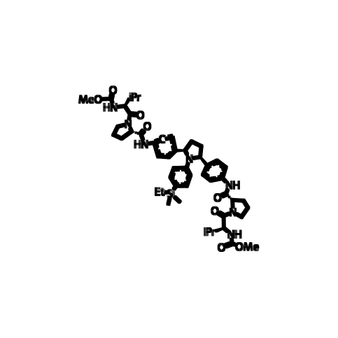 CC[Si](C)(C)c1ccc(N2[C@@H](c3ccc(NC(=O)[C@@H]4CCCN4C(=O)[C@@H](NC(=O)OC)C(C)C)cc3)CC[C@H]2c2ccc(NC(=O)[C@@H]3CCCN3C(=O)[C@@H](NC(=O)OC)C(C)C)cc2)cc1